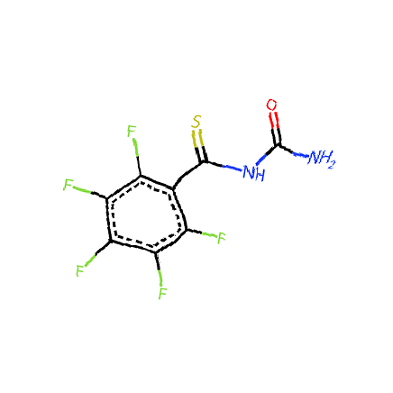 NC(=O)NC(=S)c1c(F)c(F)c(F)c(F)c1F